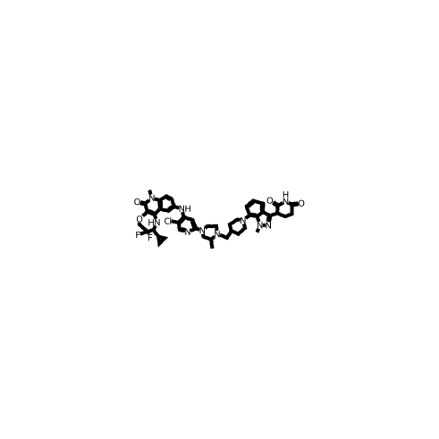 CC1CN(c2cc(Nc3ccc4c(c3)c3c(c(=O)n4C)OCC(F)(F)C(C4CC4)N3)c(Cl)cn2)CCN1CC1CCN(c2cccc3c(C4CCC(=O)NC4=O)nn(C)c23)CC1